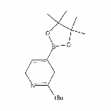 CC(C)(C)C1=NCC=C(B2OC(C)(C)C(C)(C)O2)C1